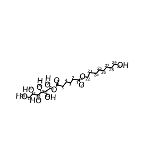 O=C(CCCCC(=O)OC(O)[C@H](O)[C@@H](O)[C@H](O)[C@H](O)CO)OCCCCCCCCO